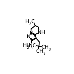 CC1CNc2c(CC(C)(C)C)c(N)nn2C1